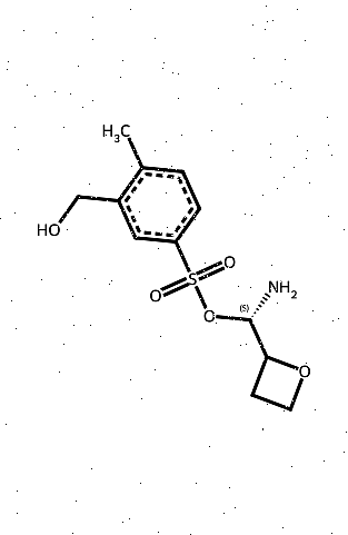 Cc1ccc(S(=O)(=O)O[C@H](N)C2CCO2)cc1CO